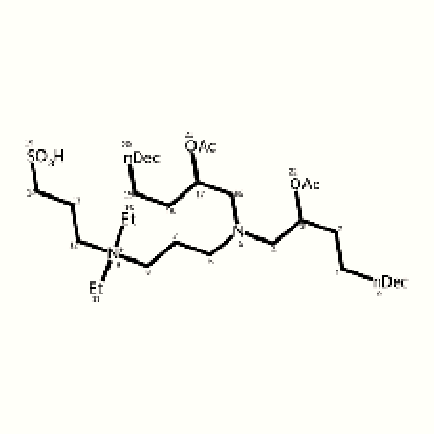 CCCCCCCCCCCCC(CN(CCC[N+](CC)(CC)CCCS(=O)(=O)O)CC(CCCCCCCCCCCC)OC(C)=O)OC(C)=O